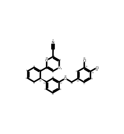 N#CC1=COC=C(C2=CC=CC[C@@H]2c2cccc(OCc3ccc(Cl)c(Cl)c3)c2)O1